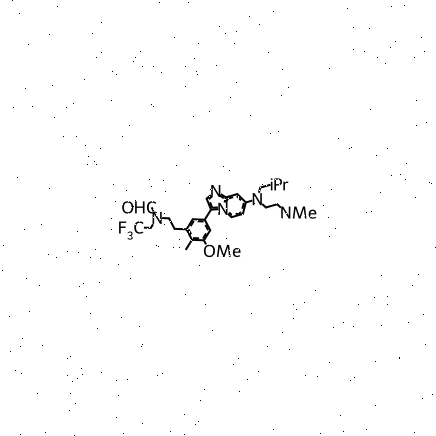 CNCCN(CC(C)C)c1ccn2c(-c3cc(CCN(C=O)CC(F)(F)F)c(C)c(OC)c3)cnc2c1